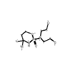 [2H]C1([2H])CCOP(=O)(N(CCCl)CCCl)N1